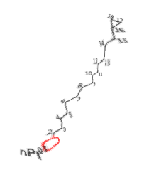 [CH2]CCOCCCCCCCCCCCCCCC1CC1